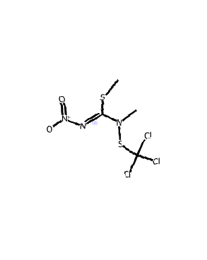 CS/C(=N\[N+](=O)[O-])N(C)SC(Cl)(Cl)Cl